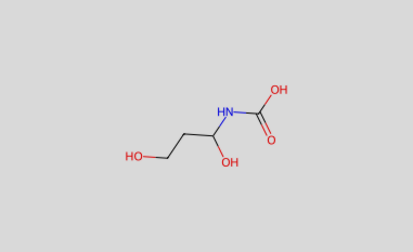 O=C(O)NC(O)CCO